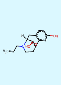 C=CCN1CC[C@]23COCC[C@@]2(O)[C@H]1Cc1ccc(O)cc13